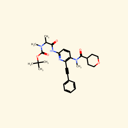 CC(C(=O)Nc1ccc(N(C)C(=O)C2CCOCC2)c(C#Cc2ccccc2)n1)N(C)C(=O)OC(C)(C)C